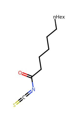 CCCCCCCCCCCC(=O)N=C=S